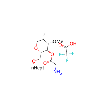 CCCCCCCOC[C@@H]1OC[C@H](C)[C@H](OC)[C@H]1OC(=O)CN.O=C(O)C(F)(F)F